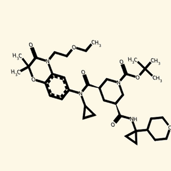 CCOCCN1C(=O)C(C)(C)Oc2ccc(N(C(=O)[C@@H]3C[C@H](C(=O)NC4(C5CCOCC5)CC4)CN(C(=O)OC(C)(C)C)C3)C3CC3)cc21